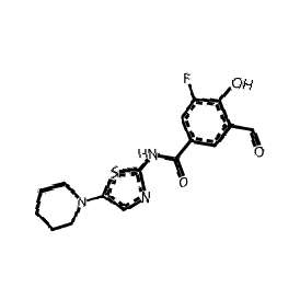 O=Cc1cc(C(=O)Nc2ncc(N3CCCCC3)s2)cc(F)c1O